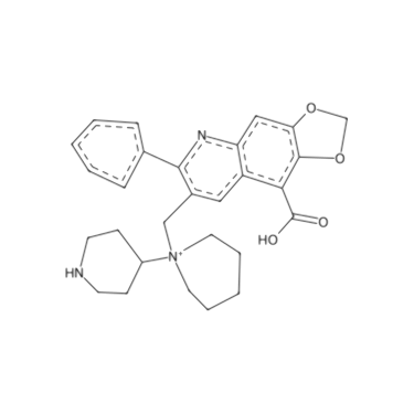 O=C(O)c1c2c(cc3nc(-c4ccccc4)c(C[N+]4(C5CCNCC5)CCCCC4)cc13)OCO2